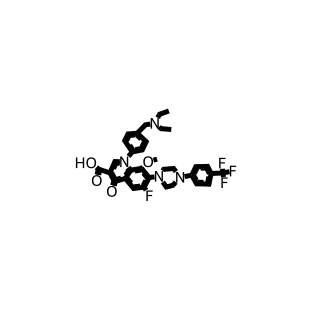 CCN(CC)Cc1ccc(-n2cc(C(=O)O)c(=O)c3cc(F)c(N4CCN(c5ccc(C(F)(F)F)cc5)CC4)c(OC)c32)cc1